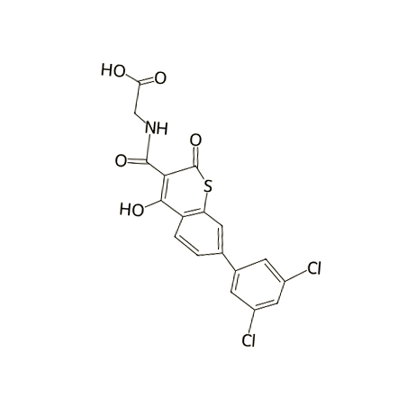 O=C(O)CNC(=O)c1c(O)c2ccc(-c3cc(Cl)cc(Cl)c3)cc2sc1=O